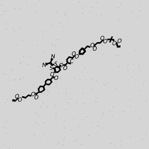 C=CC(=O)OCCCCOC(=O)C1CCC(C2CCC(C(=O)OC3=C4SC(=C(C#N)C#N)SC4=C(OC(=O)C4CCC(C(=O)Oc5ccc(CCOC(=O)CCC(=O)OCC(C)(C)COC(=O)C=C)cc5)CC4)CC3)CC2)CC1